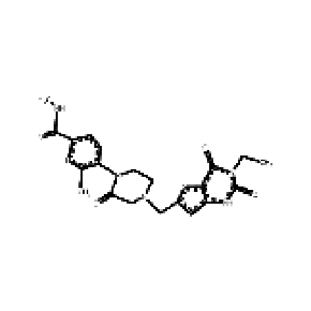 CCn1c(=O)[nH]c2cc(CN3CCN(c4ccc(C(=O)NC)nc4C)C(=O)C3)sc2c1=O